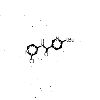 CC(C)(C)c1ccc(C(=O)Nc2ccnc(Cl)c2)cn1